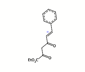 CCOC(=O)C(=O)CC(=O)/C=C/c1ccccc1